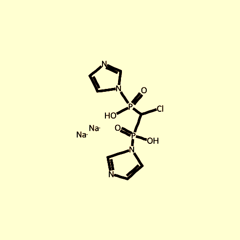 O=P(O)(C(Cl)P(=O)(O)n1ccnc1)n1ccnc1.[Na].[Na]